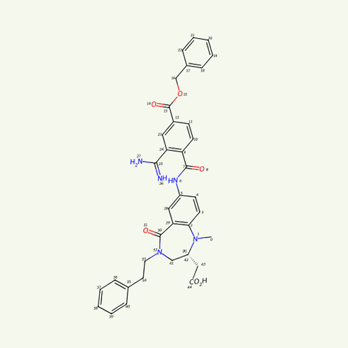 CN1c2ccc(NC(=O)c3ccc(C(=O)OCc4ccccc4)cc3C(=N)N)cc2C(=O)N(CCc2ccccc2)C[C@H]1CC(=O)O